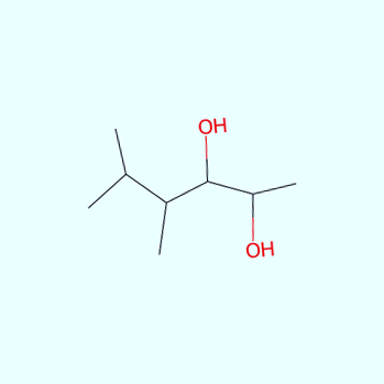 CC(C)C(C)C(O)C(C)O